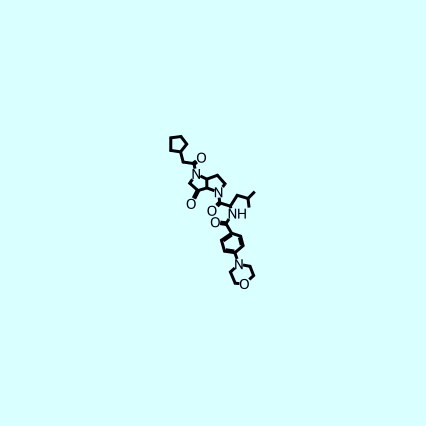 CC(C)CC(NC(=O)c1ccc(N2CCOCC2)cc1)C(=O)N1CCC2C1C(=O)CN2C(=O)CC1CCCC1